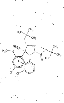 COc1cc(Cl)ccc1[C@@]1(C#N)[C@H](CC(C)(C)C)N[C@H](C(=O)OC(C)(C)C)[C@@H]1c1cccc(Cl)c1F